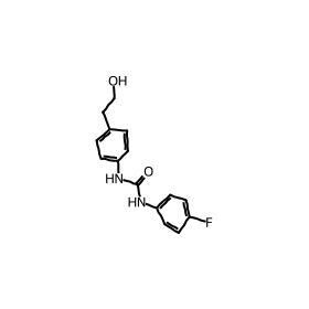 O=C(Nc1ccc(F)cc1)Nc1ccc(CCO)cc1